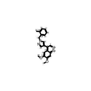 COc1cc2nncc(-c3cnn(Cc4ccccc4C)c3)c2cc1OC